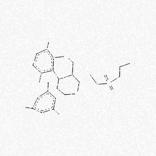 O=S(=O)(CCO)CC[C@@H]1OCC[C@@]2(Cc3cc(F)cc(F)c3)c3c(F)ccc(F)c3OC[C@@H]12